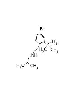 CC(C)CNCCc1ccc(Br)cc1C(C)(C)C